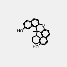 CC1(C2CCCCC2)c2c(ccc3ccc(O)cc23)Oc2ccc3ccc(O)cc3c21